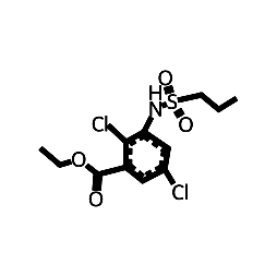 CCCS(=O)(=O)Nc1cc(Cl)cc(C(=O)OCC)c1Cl